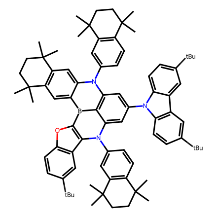 CC(C)(C)c1ccc2oc3c(c2c1)N(c1ccc2c(c1)C(C)(C)CCC2(C)C)c1cc(-n2c4ccc(C(C)(C)C)cc4c4cc(C(C)(C)C)ccc42)cc2c1B3c1cc3c(cc1N2c1ccc2c(c1)C(C)(C)CCC2(C)C)C(C)(C)CCC3(C)C